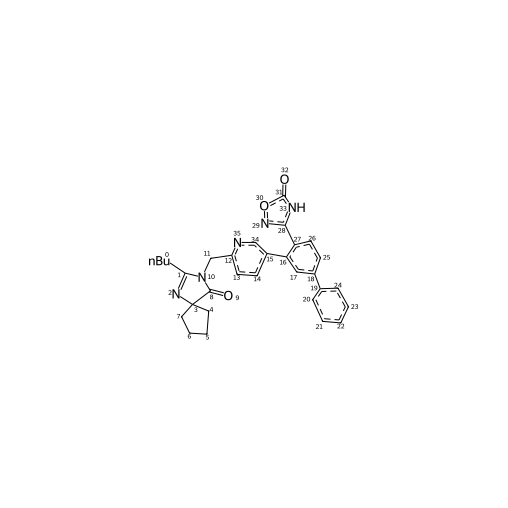 CCCCC1=NC2(CCCC2)C(=O)N1Cc1ccc(-c2cc(-c3ccccc3)ccc2-c2noc(=O)[nH]2)cn1